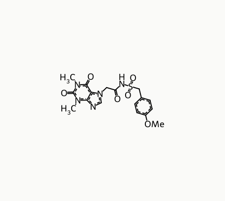 COc1ccc(CS(=O)(=O)NC(=O)Cn2cnc3c2c(=O)n(C)c(=O)n3C)cc1